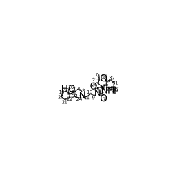 CC1(C)CC2(NC(=O)N(CCCN3CCC(O)(c4ccccc4)CC3)C2=O)c2cc(F)ccc2O1